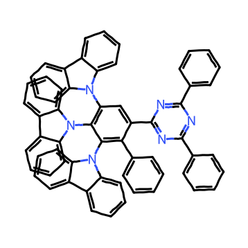 c1ccc(-c2nc(-c3ccccc3)nc(-c3cc(-n4c5ccccc5c5ccccc54)c(-n4c5ccccc5c5ccccc54)c(-n4c5ccccc5c5ccccc54)c3-c3ccccc3)n2)cc1